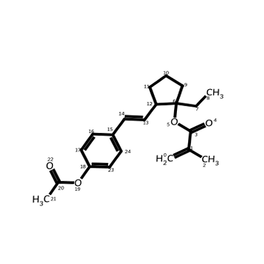 C=C(C)C(=O)OC1(CC)CCCC1C=Cc1ccc(OC(C)=O)cc1